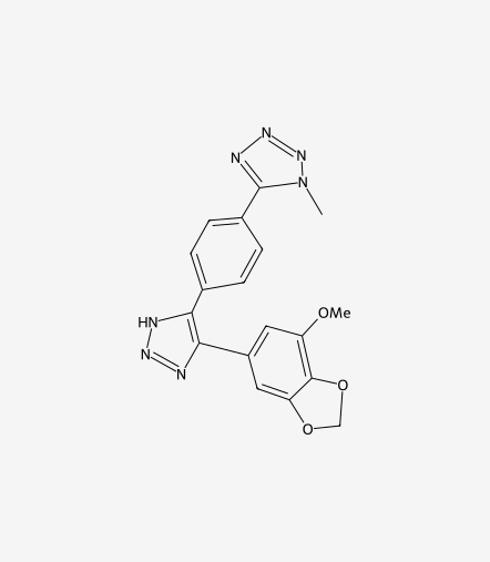 COc1cc(-c2nn[nH]c2-c2ccc(-c3nnnn3C)cc2)cc2c1OCO2